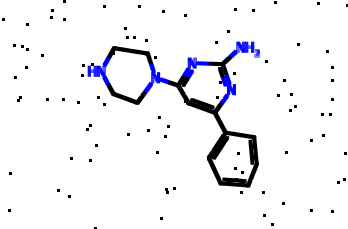 Nc1nc(-c2ccccc2)cc(N2CCNCC2)n1